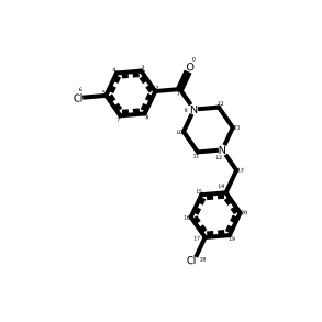 O=C(c1[c]cc(Cl)cc1)N1CCN(Cc2ccc(Cl)cc2)CC1